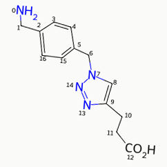 NCc1ccc(Cn2cc(CCC(=O)O)nn2)cc1